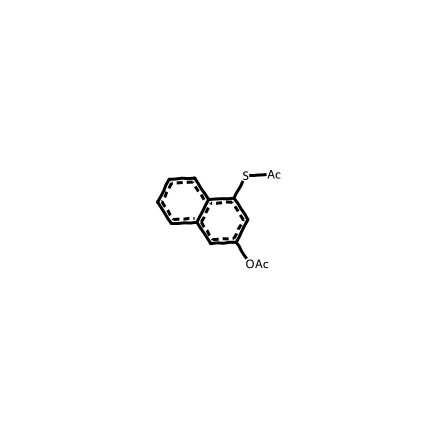 CC(=O)Oc1cc(SC(C)=O)c2ccccc2c1